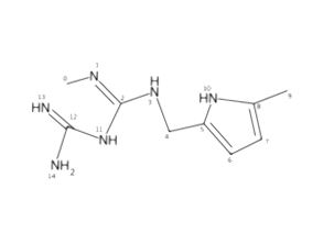 C/N=C(/NCc1ccc(C)[nH]1)NC(=N)N